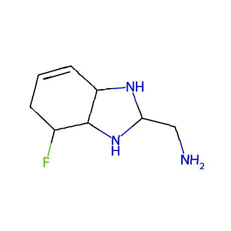 NCC1NC2C=CCC(F)C2N1